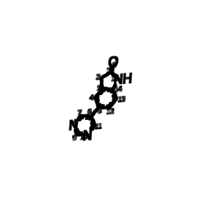 O=C1Cc2cc(-c3cncnc3)ccc2N1